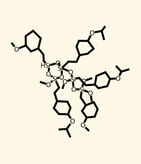 COC1CCCC(CC[SiH]2O[Si](CCC3CCC(OC(C)C)CC3)(OC)O[Si](CCC3CCC(OC(C)C)CC3)(O[Si](CCC3CCC(OC(C)C)CC3)(OC)O[Si](CC3CCCC(OC)C3)(OC)OC)O2)C1